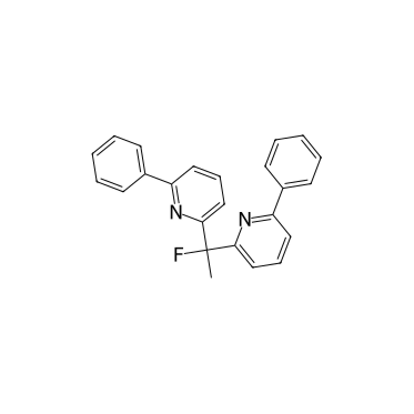 CC(F)(c1cccc(-c2ccccc2)n1)c1cccc(-c2ccccc2)n1